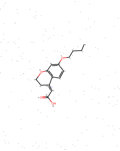 CCCCOc1ccc2c(c1)OCC/C2=C\C(=O)O